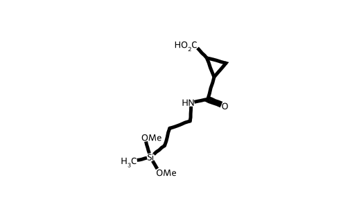 CO[Si](C)(CCCNC(=O)C1CC1C(=O)O)OC